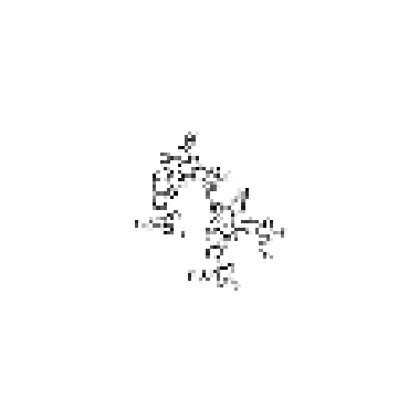 CN(C)C(=O)c1ccc(CN2CCSC2C(=O)OC(Cc2c(Cl)c[n+]([O-])cc2Cl)c2ccc(OC(F)F)c(OCC3CC3)c2)cc1.CN(C)C(=O)c1ccc(CN2CCSC2C(=O)OC(Cc2c(Cl)c[n+]([O-])cc2Cl)c2ccc(OC(F)F)c(OCC3CC3)c2)cc1